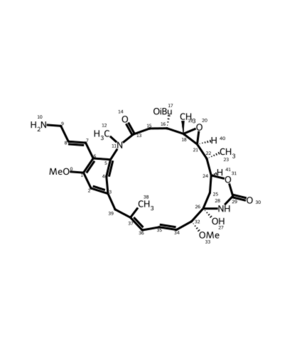 COc1cc2cc(c1/C=C/CN)N(C)C(=O)C[C@H](OCC(C)C)[C@]1(C)O[C@H]1[C@H](C)[C@@H]1C[C@@](O)(NC(=O)O1)[C@H](OC)/C=C/C=C(\C)C2